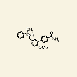 COc1ccc(CN[C@H](C)c2ccccc2)cc1-c1ccc(C(N)=O)cc1